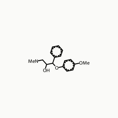 CNCC(O)C(Oc1ccc(OC)cc1)c1ccccc1